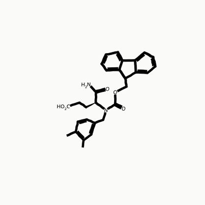 Cc1ccc(CN(C(=O)OCC2c3ccccc3-c3ccccc32)[C@@H](CCC(=O)O)C(N)=O)cc1C